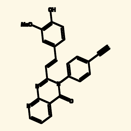 C#Cc1ccc(-n2c(C=Cc3ccc(O)c(OC)c3)nc3ncccc3c2=O)cc1